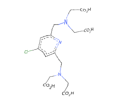 O=C(O)CN(CC(=O)O)Cc1cc(Cl)cc(CN(CC(=O)O)CC(=O)O)n1